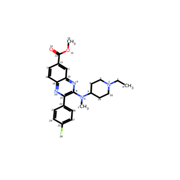 CCN1CCC(N(C)c2nc3cc(C(=O)OC)ccc3nc2-c2ccc(F)cc2)CC1